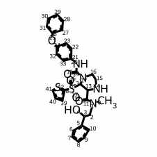 CN(CC(O)c1ccccc1)C(=O)C1NCCN(C(=O)Nc2ccc(Oc3ccccc3)cc2)C1S(=O)(=O)c1cccs1